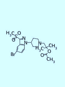 CC(=O)OC(C)(C)CN1CCC(n2nc(S(C)(=O)=O)c3cc(Br)ccc32)CC1